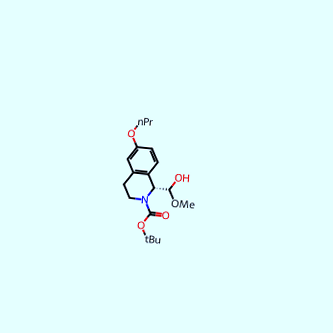 CCCOc1ccc2c(c1)CCN(C(=O)OC(C)(C)C)[C@H]2C(O)OC